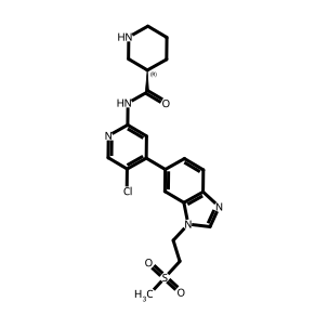 CS(=O)(=O)CCn1cnc2ccc(-c3cc(NC(=O)[C@@H]4CCCNC4)ncc3Cl)cc21